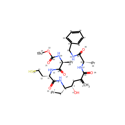 C=C(C[C@H](O)[C@H](CC(C)C)NC(=O)[C@H](CCS)NC(=O)[C@@H](NC(=O)OC(C)(C)C)C(C)C)C(=O)N[C@H](C(=O)NCc1ccccc1)C(C)C